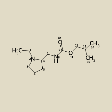 CCN1CCCC1CNC(=O)OCC(C)C